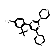 Nc1ccc(-c2cc(N3CCOCC3)nc(N3CCOCC3)n2)c(C(F)(F)F)c1